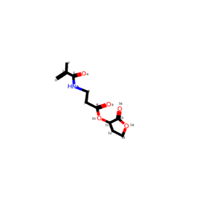 C=C(C)C(=O)NCCC(=O)OC1CCOC1=O